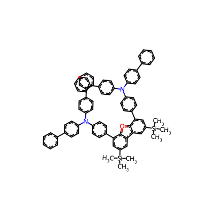 C[Si](C)(C)c1cc(-c2ccc(N(c3ccc(-c4ccccc4)cc3)c3ccc(-c4ccccc4)cc3)cc2)c2oc3c(-c4ccc(N(c5ccc(-c6ccccc6)cc5)c5ccc(-c6ccccc6)cc5)cc4)cc([Si](C)(C)C)cc3c2c1